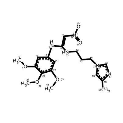 COc1cc(NC(=C[N+](=O)[O-])NCCCn2cnc(C)c2)cc(OC)c1OC